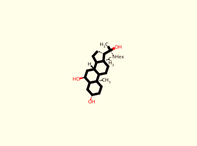 CCCCCC[C@](C)(O)[C@H]1CCC2[C@H]3C[C@H](O)C4C[C@@H](O)CC[C@]4(C)C3CC[C@@]21C